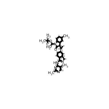 Cc1ccc2c(c1)[C@]1(C[C@H]1c1ccc3c(c1)CN=C3Nc1nc(C)ncc1C)C(=O)N2C(=O)OC(C)(C)C